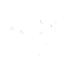 FC(F)(F)[C@@H]1CCCN1c1cc(-n2ccnc2)c2ccc(Cl)c(Cl)c2n1